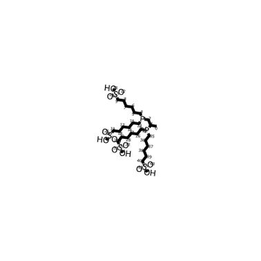 CC(CP(CCCCCCS(=O)(=O)O)CCCCCCS(=O)(=O)O)P(CCCCCCS(=O)(=O)O)CCCCCCS(=O)(=O)O